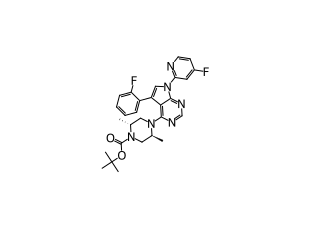 C[C@@H]1CN(c2ncnc3c2c(-c2ccccc2F)cn3-c2cc(F)ccn2)[C@@H](C)CN1C(=O)OC(C)(C)C